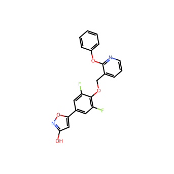 Oc1cc(-c2cc(F)c(OCc3cccnc3Oc3ccccc3)c(F)c2)on1